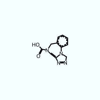 O=C(O)N1C=C2N=NCN2c2ccccc2C1